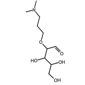 CN(C)CCCOC(C=O)C(O)C(O)CO